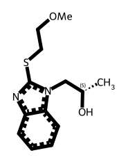 COCCSc1nc2ccccc2n1C[C@H](C)O